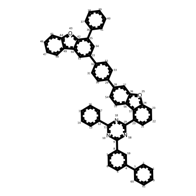 c1ccc(-c2cccc(-c3nc(-c4ccccc4)nc(-c4cccc5oc6cc(-c7ccc(-c8cc(-c9ccccc9)c9oc%10ccccc%10c9c8)cc7)ccc6c45)n3)c2)cc1